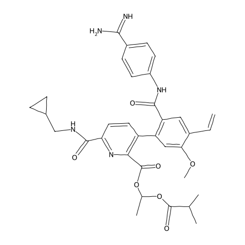 C=Cc1cc(C(=O)Nc2ccc(C(=N)N)cc2)c(-c2ccc(C(=O)NCC3CC3)nc2C(=O)OC(C)OC(=O)C(C)C)cc1OC